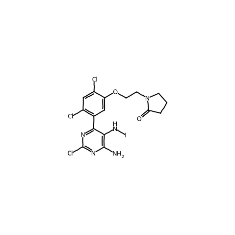 Nc1nc(Cl)nc(-c2cc(OCCN3CCCC3=O)c(Cl)cc2Cl)c1NI